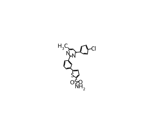 Cc1cc(-c2ccc(Cl)cc2)nc(-c2cccc(-c3ccc(S(N)(=O)=O)s3)c2)n1